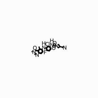 Cc1c(Nc2c(F)ccc(NS(=O)(=O)N3CC(C#N)C3)c2Cl)ccc2ncn(C)c(=O)c12